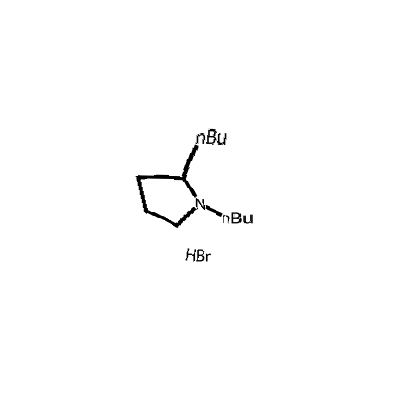 Br.CCCCC1CCCN1CCCC